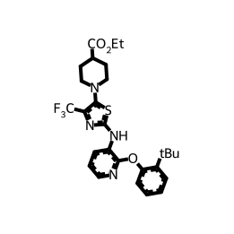 CCOC(=O)C1CCN(c2sc(Nc3cccnc3Oc3ccccc3C(C)(C)C)nc2C(F)(F)F)CC1